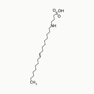 CCCCCCCCC=CCCCCCCCCNCCCS(=O)(=O)O